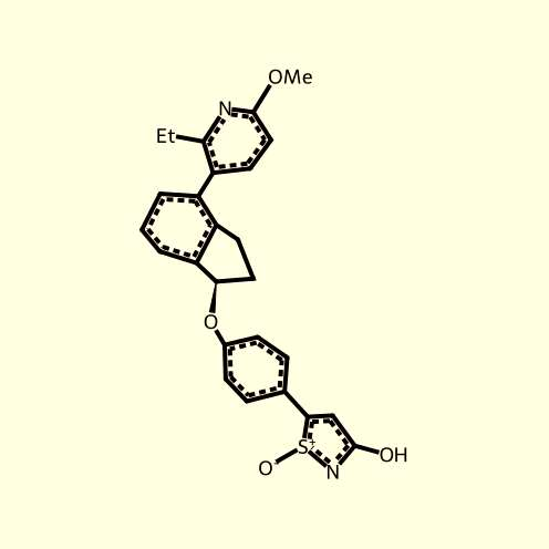 CCc1nc(OC)ccc1-c1cccc2c1CC[C@H]2Oc1ccc(-c2cc(O)n[s+]2[O-])cc1